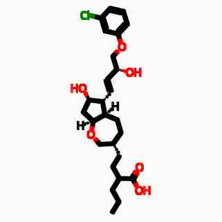 CCCC(CC[C@H]1CC[C@@H]2[C@@H](/C=C/[C@@H](O)COc3cccc(Cl)c3)[C@H](O)C[C@@H]2OC1)C(=O)O